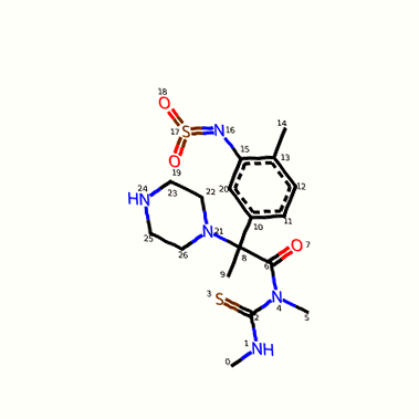 CNC(=S)N(C)C(=O)C(C)(c1ccc(C)c(N=S(=O)=O)c1)N1CCNCC1